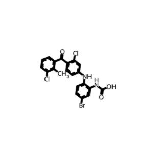 Cc1c(Cl)cccc1C(=O)c1ccc(Nc2ccc(Br)cc2NC(=O)O)cc1Cl